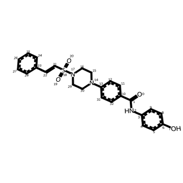 O=C(Nc1ccc(O)cc1)c1ccc(N2CCN(S(=O)(=O)C=Cc3ccccc3)CC2)cc1